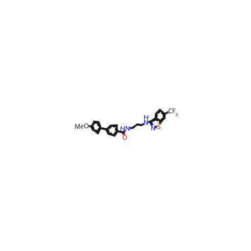 COc1ccc(-c2ccc(C(=O)NCCCNc3nsc4cc(C(F)(F)F)ccc34)cc2)cc1